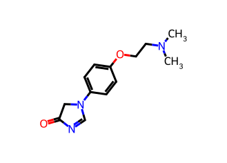 CN(C)CCOc1ccc(N2C=NC(=O)C2)cc1